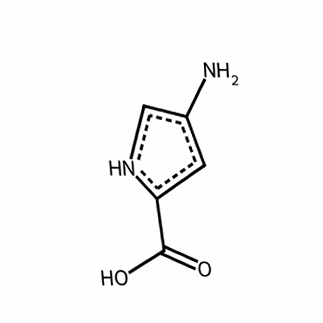 Nc1c[nH]c(C(=O)O)c1